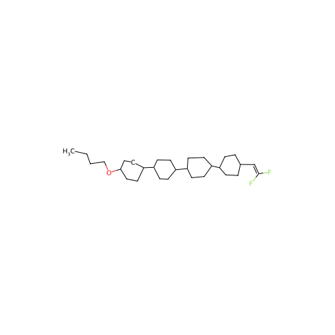 CCCCOC1CCC(C2CCC(C3CCC(C4CCC(C=C(F)F)CC4)CC3)CC2)CC1